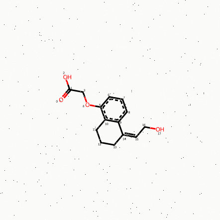 O=C(O)COc1cccc2c1CCC/C2=C/CO